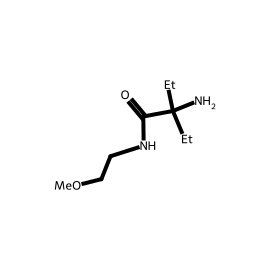 CCC(N)(CC)C(=O)NCCOC